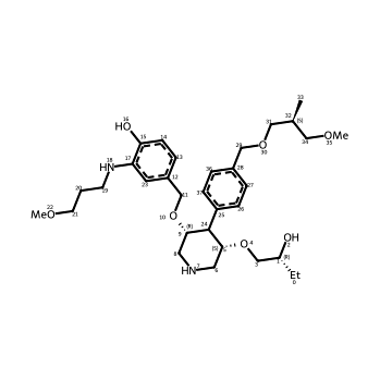 CC[C@@H](O)CO[C@@H]1CNC[C@H](OCc2ccc(O)c(NCCCOC)c2)C1c1ccc(COC[C@@H](C)COC)cc1